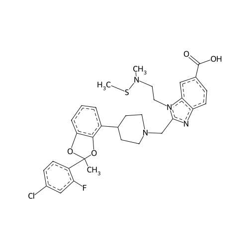 CSN(C)CCn1c(CN2CCC(c3cccc4c3OC(C)(c3ccc(Cl)cc3F)O4)CC2)nc2ccc(C(=O)O)cc21